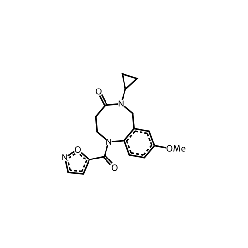 COc1ccc2c(c1)CN(C1CC1)C(=O)CCN2C(=O)c1ccno1